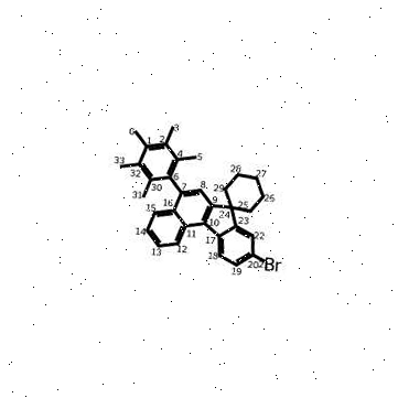 Cc1c(C)c(C)c(-c2cc3c(c4ccccc24)-c2ccc(Br)cc2C32CCCCC2)c(C)c1C